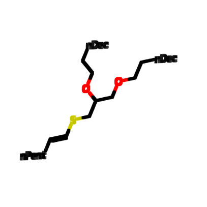 CCCCCC=CSCC(COCCCCCCCCCCCC)OCCCCCCCCCCCC